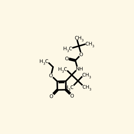 CCOc1c(C(C)(NC(=O)OC(C)(C)C)C(C)(C)C)c(=O)c1=O